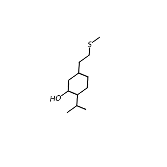 CSCCC1CCC(C(C)C)C(O)C1